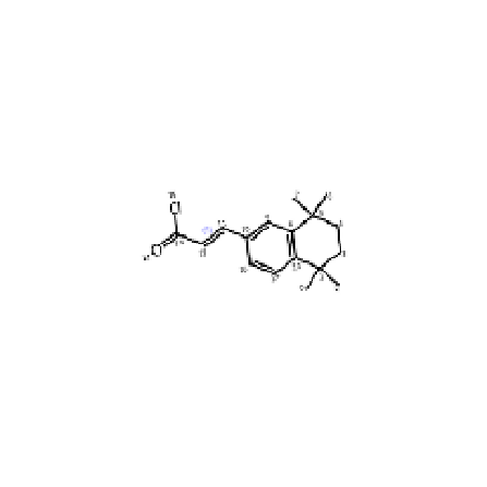 CC1(C)CCC(C)(C)c2cc(/C=C/C(=O)Cl)ccc21